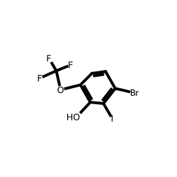 Oc1c(OC(F)(F)F)ccc(Br)c1I